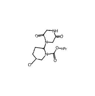 CCCOC(=O)N1CC(Cl)CCC1N1CC(=O)NCC1=O